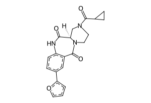 O=C1Nc2ccc(-c3ccco3)cc2C(=O)N2CCN(C(=O)C3CC3)C[C@H]12